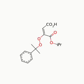 CC(C)OC(=O)C(=CC(=O)O)OOC(C)(C)c1ccccc1